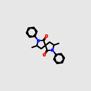 CC1CC2(CC(C)N(c3ccccc3)C2=O)C(=O)N1c1ccccc1